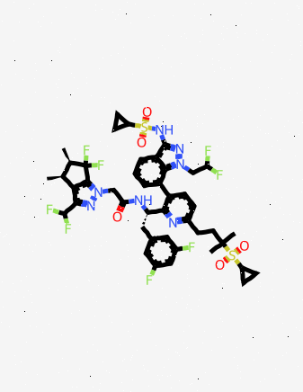 C[C@@H]1c2c(C(F)F)nn(CC(=O)N[C@@H](Cc3cc(F)cc(F)c3)c3nc(CCC(C)(C)S(=O)(=O)C4CC4)ccc3-c3cccc4c(NS(=O)(=O)C5CC5)nn(CC(F)F)c34)c2C(F)(F)[C@@H]1C